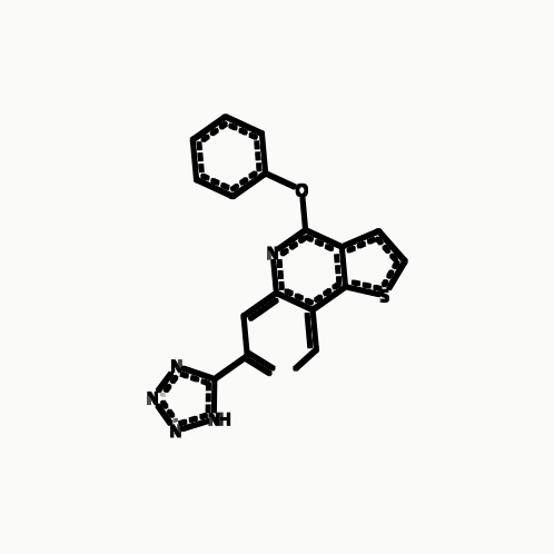 C=C(/C=c1/nc(Oc2ccccc2)c2ccsc2/c1=C/C)c1nnn[nH]1